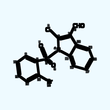 O=Cc1c(Cl)n(S(=O)(=O)c2ccccc2Br)c2ccccc12